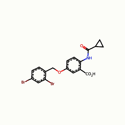 O=C(O)c1cc(OCc2ccc(Br)cc2Br)ccc1NC(=O)C1CC1